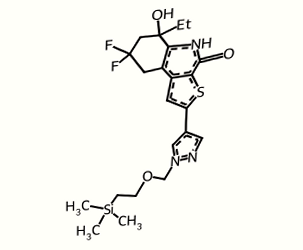 CCC1(O)CC(F)(F)Cc2c1[nH]c(=O)c1sc(-c3cnn(COCC[Si](C)(C)C)c3)cc21